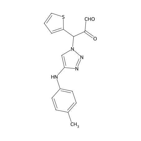 Cc1ccc(Nc2cn(C(C(=O)C=O)c3cccs3)nn2)cc1